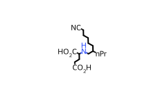 CCCC(CCCCCC#N)CNC(CCC(=O)O)C(=O)O